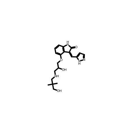 CC(C)(CO)CNCC(O)COc1cccc2c1/C(=C/c1ccn[nH]1)C(=O)N2